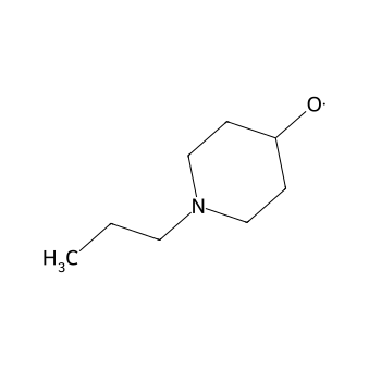 CCCN1CCC([O])CC1